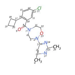 Cc1cc(N2CCN(C(=O)c3cc(Cl)ccc3C3CCC3)CCO2)nc(C)n1